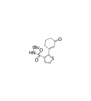 CC(C)(C)NS(=O)(=O)c1ccsc1C1=CC(=O)CCC1